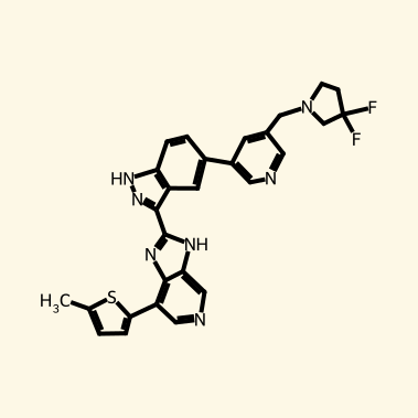 Cc1ccc(-c2cncc3[nH]c(-c4n[nH]c5ccc(-c6cncc(CN7CCC(F)(F)C7)c6)cc45)nc23)s1